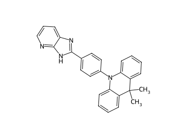 CC1(C)c2ccccc2N(c2ccc(-c3nc4cccnc4[nH]3)cc2)c2ccccc21